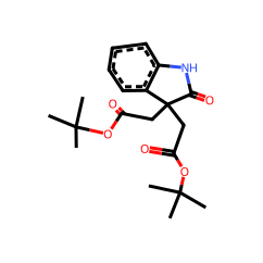 CC(C)(C)OC(=O)CC1(CC(=O)OC(C)(C)C)C(=O)Nc2ccccc21